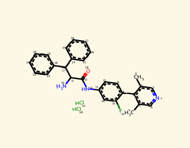 Cc1cncc(C)c1-c1ccc(NC(=O)C(N)C(c2ccccc2)c2ccccc2)cc1F.Cl.Cl